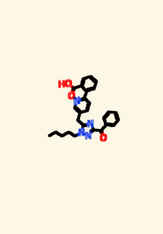 CCCCCn1nc(C(=O)c2ccccc2)nc1Cc1ccc(-c2ccccc2C(=O)O)nc1